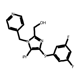 CC(C)c1c(Sc2cc(F)cc(F)c2)nc(CO)n1Cc1ccncc1